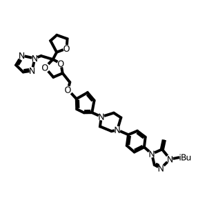 C=C1N(c2ccc(N3CCN(c4ccc(OCC5COC(Cn6nccn6)(C6CCCO6)O5)cc4)CC3)cc2)C=NN1C(C)CC